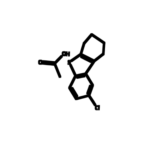 CC(=O)O.Clc1ccc2sc3c(c2c1)CCCC3